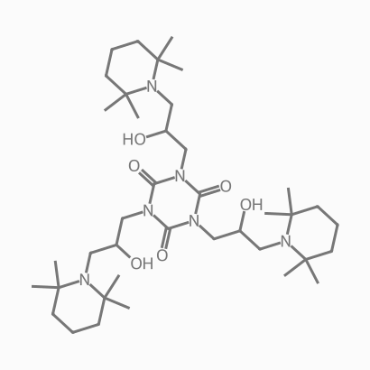 CC1(C)CCCC(C)(C)N1CC(O)Cn1c(=O)n(CC(O)CN2C(C)(C)CCCC2(C)C)c(=O)n(CC(O)CN2C(C)(C)CCCC2(C)C)c1=O